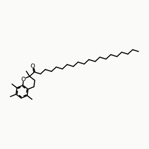 CCCCCCCCCCCCCCCCCCCC(=O)C1(C)CCc2c(C)cc(C)c(C)c2O1